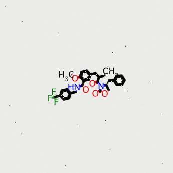 CCC(Cc1ccc(OC)c(C(=O)NCc2ccc(C(F)(F)F)cc2)c1)C(=O)N1C(=O)OC[C@@H]1Cc1ccccc1